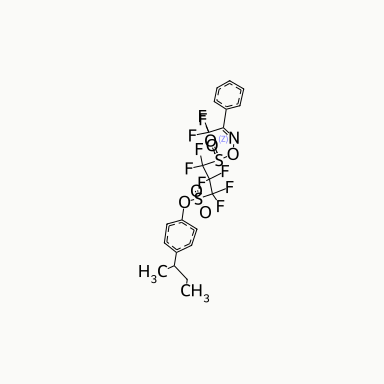 CCC(C)c1ccc(OS(=O)(=O)C(F)(F)C(F)(F)C(F)(F)S(=O)(=O)O/N=C(/c2ccccc2)C(F)(F)F)cc1